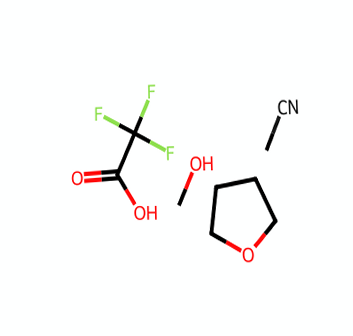 C1CCOC1.CC#N.CO.O=C(O)C(F)(F)F